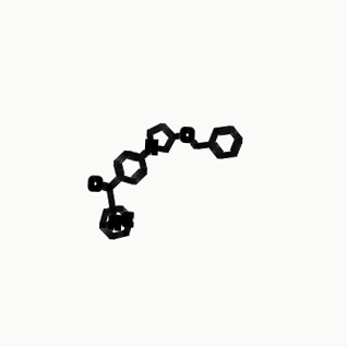 O=C(c1ccc(N2CCC(OCc3ccccc3)C2)cc1)N1CC2CCC(CC2)C1